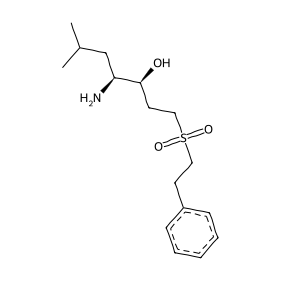 CC(C)C[C@H](N)[C@@H](O)CCS(=O)(=O)CCc1ccccc1